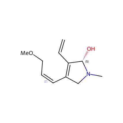 C=CC1=C(/C=C\COC)CN(C)[C@H]1O